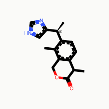 Cc1c([C@H](C)c2c[nH]cn2)ccc2c1COC(=O)C2C